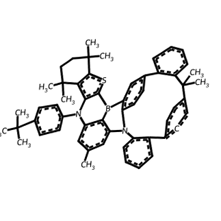 Cc1cc2c3c(c1)N(c1ccc(C(C)(C)C)cc1)c1c(sc4c1C(C)(C)CCC4(C)C)B3c1cc3ccc1N2c1ccccc1-c1ccc(cc1)C(C)(C)c1ccccc1-3